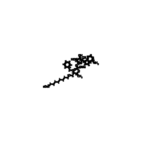 CCCCCCCCCCCCCCCCCCOC[C@@H](OCc1ccccc1)C(C)OP(=O)(OC)O[C@H]1O[C@@](C#N)(c2ccc3c(N)ncnn23)[C@H](O)[C@@H]1O